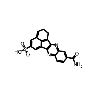 NC(=O)c1ccc2nc3c(nc2c1)C1=c2c-3cc(S(=O)(=O)O)cc2=CCC1